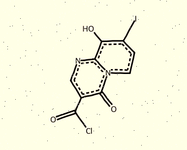 O=C(Cl)c1cnc2c(O)c(I)ccn2c1=O